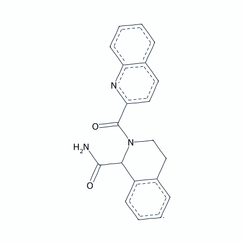 NC(=O)C1c2cc[c]cc2CCN1C(=O)c1ccc2ccccc2n1